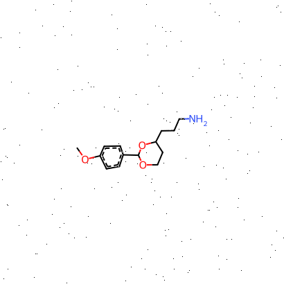 COc1ccc(C2OCCC(CCCN)O2)cc1